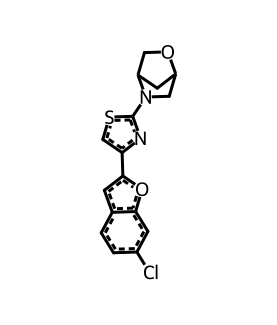 Clc1ccc2cc(-c3csc(N4CC5CC4CO5)n3)oc2c1